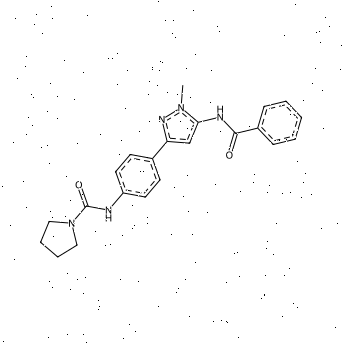 Cn1nc(-c2ccc(NC(=O)N3CCCC3)cc2)cc1NC(=O)c1ccccc1